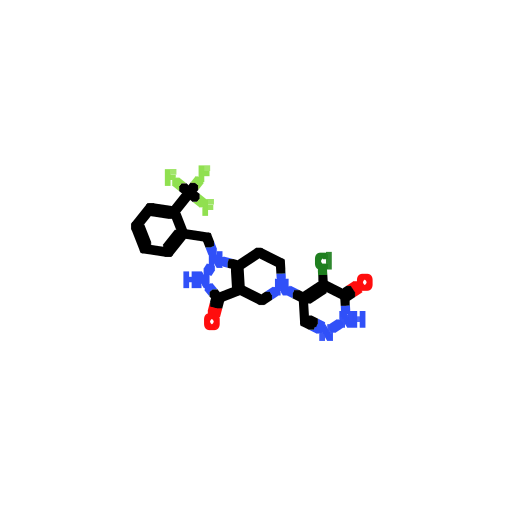 O=c1[nH]ncc(N2CCc3c(c(=O)[nH]n3Cc3ccccc3C(F)(F)F)C2)c1Cl